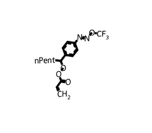 C=CC(=O)OOC(CCCCC)c1ccc(N=NOC(F)(F)F)cc1